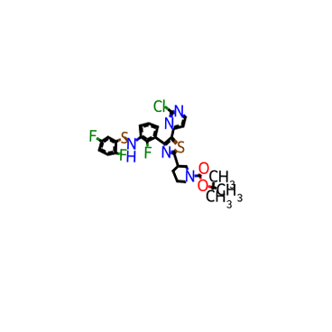 CC(C)(C)OC(=O)N1CCCC(c2nc(-c3cccc(NSc4cc(F)ccc4F)c3F)c(-c3ccnc(Cl)n3)s2)C1